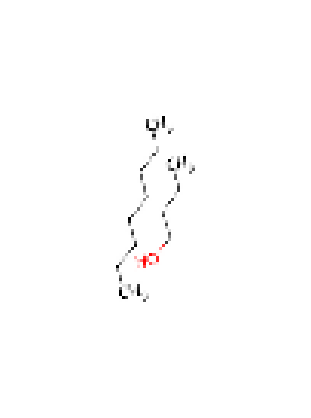 CCCCCCCC.CCCCO